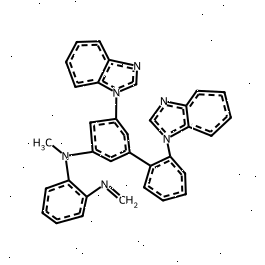 C=Nc1ccccc1N(C)c1cc(-c2ccccc2-n2cnc3ccccc32)cc(-n2cnc3ccccc32)c1